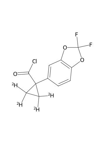 [2H]C1([2H])C([2H])([2H])C1(C(=O)Cl)c1ccc2c(c1)OC(F)(F)O2